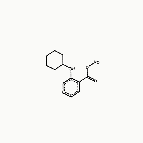 O=NOC(=O)c1ccncc1NC1CCCCC1